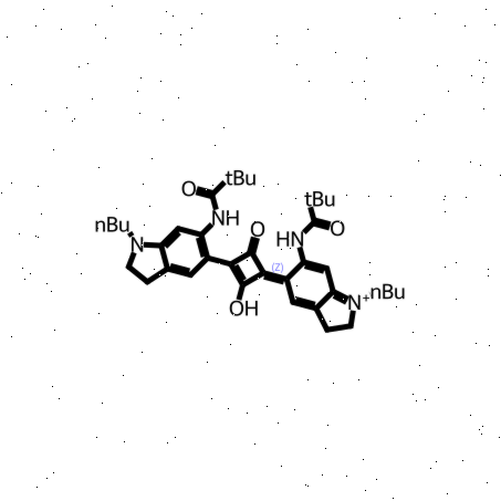 CCCCN1CCc2cc(C3=C(O)/C(=c4\cc5c(cc4NC(=O)C(C)(C)C)=[N+](CCCC)CC5)C3=O)c(NC(=O)C(C)(C)C)cc21